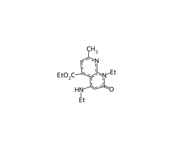 CCNc1cc(=O)n(CC)c2nc(C)cc(C(=O)OCC)c12